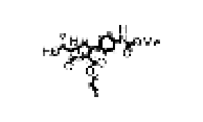 C=CCOC(=O)C1=C(c2ccc(NC(=O)OC)cc2)C[C@@H]2[C@@H]([C@@H](C)O)C(=O)N12